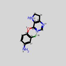 Nc1ccc(Oc2ncnc3c2NCC3)c(F)c1